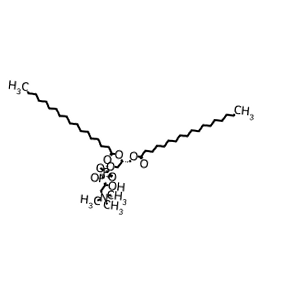 CCCCCCCCCCCCCCCCCC(=O)OC[C@H](COP(=O)([O-])[P+]([O-])=C(O)C[N+](C)(C)C)OC(=O)CCCCCCCCCCCCCCCCC